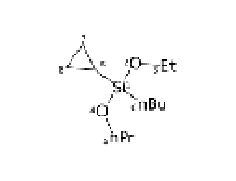 CCCC[Si](OCC)(OCCC)C1CC1